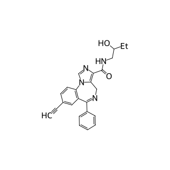 C#Cc1ccc2c(c1)C(c1ccccc1)=NCc1c(C(=O)NCC(O)CC)ncn1-2